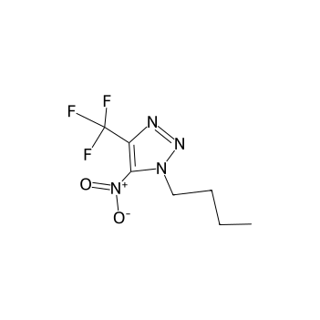 CCCCn1nnc(C(F)(F)F)c1[N+](=O)[O-]